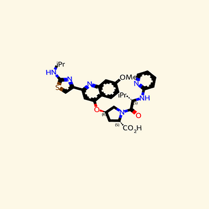 COc1ccc2c(O[C@@H]3C[C@@H](C(=O)O)N(C(=O)[C@@H](Nc4ccccn4)C(C)C)C3)cc(-c3csc(NC(C)C)n3)nc2c1